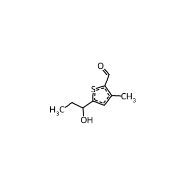 CCC(O)c1cc(C)c(C=O)s1